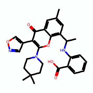 Cc1cc(C(C)Nc2ccccc2C(=O)O)c2oc(N3CCC(C)(C)CC3)c(-c3cnoc3)c(=O)c2c1